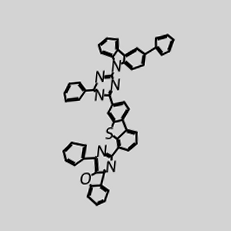 c1ccc(-c2ccc3c(c2)c2ccccc2n3-c2nc(-c3ccccc3)nc(-c3ccc4c(c3)sc3c(-c5nc(-c6ccccc6)c6oc7ccccc7c6n5)cccc34)n2)cc1